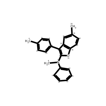 Cc1ccc(-c2c(N(C)c3ccccc3)oc3ccc(C)cc23)cc1